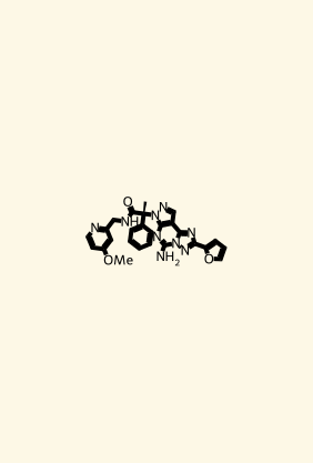 COc1ccnc(CNC(=O)[C@@](C)(c2ccccc2)n2ncc3c2nc(N)n2nc(-c4ccco4)nc32)c1